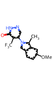 COc1ccc2cn(-c3cn[nH]c(=O)c3C(F)(F)F)c(C)c2c1